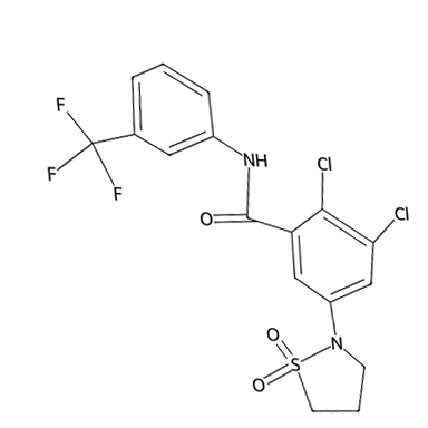 O=C(Nc1cccc(C(F)(F)F)c1)c1cc(N2CCCS2(=O)=O)cc(Cl)c1Cl